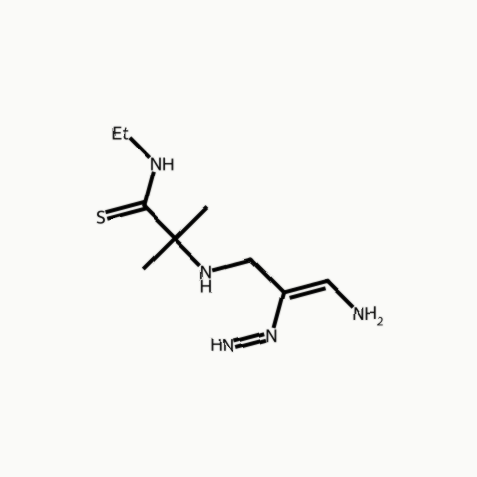 CCNC(=S)C(C)(C)NC/C(=C/N)N=N